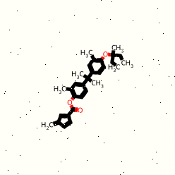 C=C1C=CC(C(=O)Oc2ccc(C(C)(C)c3ccc(OC(C)(CC)CC)c(C)c3)cc2C)=C1